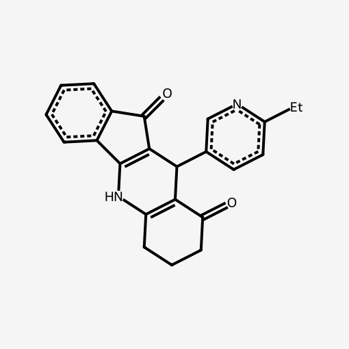 CCc1ccc(C2C3=C(CCCC3=O)NC3=C2C(=O)c2ccccc23)cn1